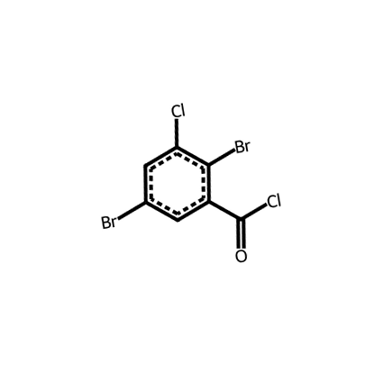 O=C(Cl)c1cc(Br)cc(Cl)c1Br